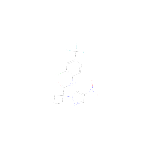 O=C(Nc1ccc(C(F)(F)F)cc1Cl)C1(n2cc([N+](=O)[O-])cn2)CCC1